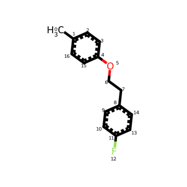 Cc1ccc(OCCc2ccc(F)cc2)cc1